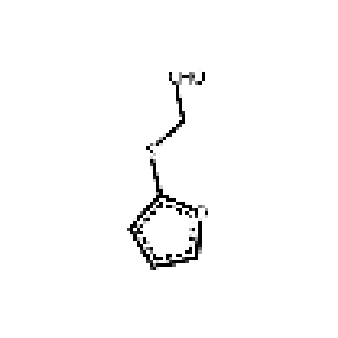 O=CCSc1ccco1